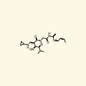 C=C(/N=C\C=C/C)NC(=O)CN1N=C(C(C)C)C(=N)/C(=C\NC2CC2)C1=O